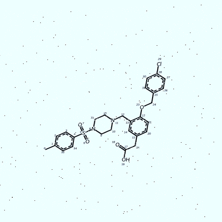 Cc1ccc(S(=O)(=O)N2CCN(Cc3cc(CC(=O)O)ccc3OCc3ccc(Cl)cc3)CC2)cc1